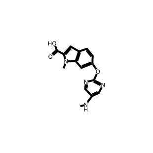 CNc1cnc(Oc2ccc3cc(C(=O)O)n(C)c3c2)nc1